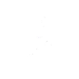 COC(=O)c1cc2c(cc1C)nc(NCc1ccccc1)c1cncn12